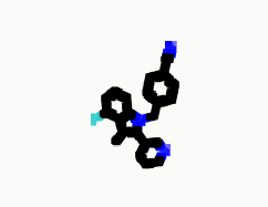 Cc1c(-c2cccnc2)n(Cc2ccc(C#N)cc2)c2cccc(F)c12